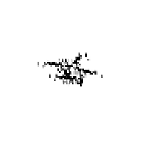 NCCCC[C@H](NC(=O)[C@@H]1CCCN1C(=O)[C@H](CCCCN)NC(=O)[C@H](CCCCN)NC(=O)[C@@H]1CCCN1C(=O)[C@@H](N)CCCCN)C(=O)O